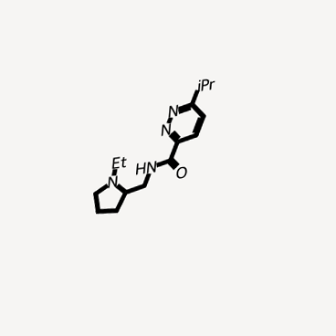 CCN1CCCC1CNC(=O)c1ccc(C(C)C)nn1